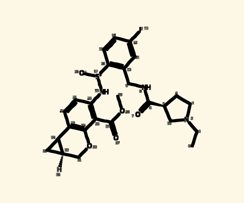 CCN1CC[C@H](C(=O)NCc2cc(F)ccc2[S+]([O-])Nc2ccc3c(c2C(=O)OC)OC[C@H]2CC32)C1